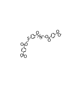 COC(=O)c1ccc(C(=O)OCCSc2ccc(C(=O)C(C)(C)N(C)CCOC(=O)c3ccc(C(=O)OC)cc3)cc2)cc1